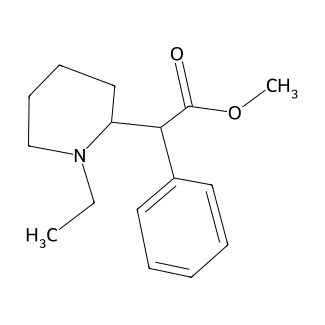 CCN1CCCCC1C(C(=O)OC)c1ccccc1